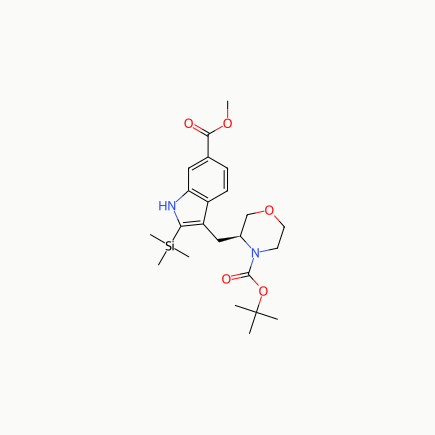 COC(=O)c1ccc2c(C[C@H]3COCCN3C(=O)OC(C)(C)C)c([Si](C)(C)C)[nH]c2c1